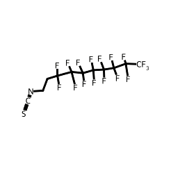 FC(F)(F)C(F)(F)C(F)(F)C(F)(F)C(F)(F)C(F)(F)C(F)(F)C(F)(F)CCN=C=S